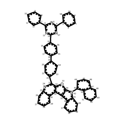 c1ccc(-c2nc(-c3ccccc3)nc(-c3ccc(-c4ccc(-c5nc6ccccc6c6c5oc5c6c6ccccc6n5-c5cccc6ccccc56)cc4)cc3)n2)cc1